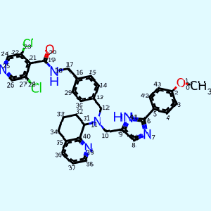 COc1ccc(-c2ncc(CN(Cc3ccc(CNC(=O)c4c(Cl)cncc4Cl)cc3)C3CCCc4cccnc43)[nH]2)cc1